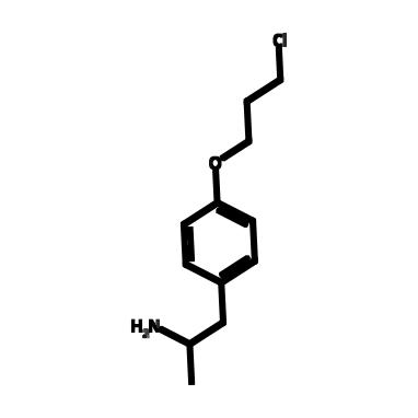 CC(N)Cc1ccc(OCCCCl)cc1